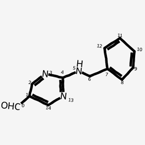 O=Cc1cnc(NCc2ccccc2)nc1